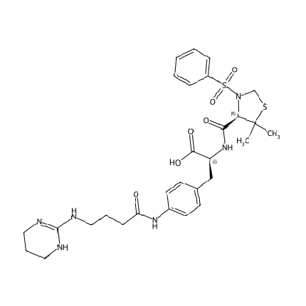 CC1(C)SCN(S(=O)(=O)c2ccccc2)[C@@H]1C(=O)N[C@@H](Cc1ccc(NC(=O)CCCNC2=NCCCN2)cc1)C(=O)O